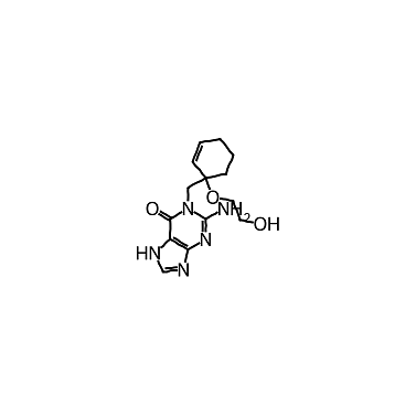 Nc1nc2nc[nH]c2c(=O)n1CC1(OCCO)C=CCCC1